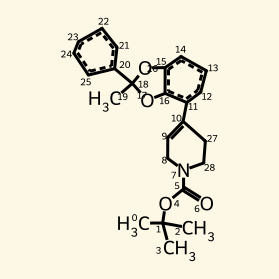 CC(C)(C)OC(=O)N1CC=C(c2cccc3c2OC(C)(c2ccccc2)O3)CC1